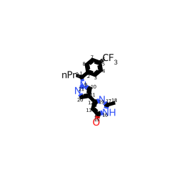 CCCC(c1ccc(C(F)(F)F)cc1)n1cc(-c2cc(=O)[nH]c(C)n2)cn1